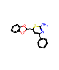 NC1=NC(c2ccccc2)=CC(C2Oc3ccccc3O2)S1